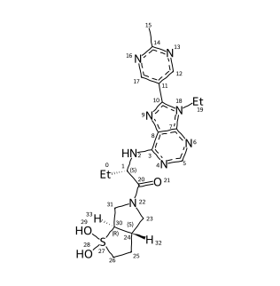 CC[C@H](Nc1ncnc2c1nc(-c1cnc(C)nc1)n2CC)C(=O)N1C[C@@H]2CCS(O)(O)[C@H]2C1